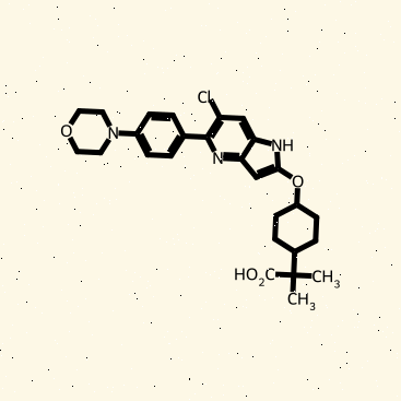 CC(C)(C(=O)O)C1CCC(Oc2cc3nc(-c4ccc(N5CCOCC5)cc4)c(Cl)cc3[nH]2)CC1